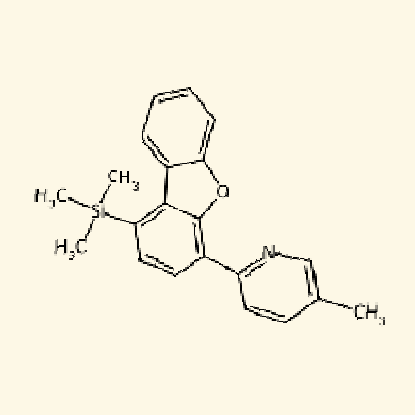 Cc1ccc(-c2ccc([Si](C)(C)C)c3c2oc2ccccc23)nc1